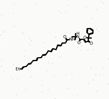 CCC=CCC=CCC=CCC=CCC=CCC=CCCC(=O)NCC(C)(C)NC(=O)C1=CC(=O)C(C)(c2ccccc2)O1